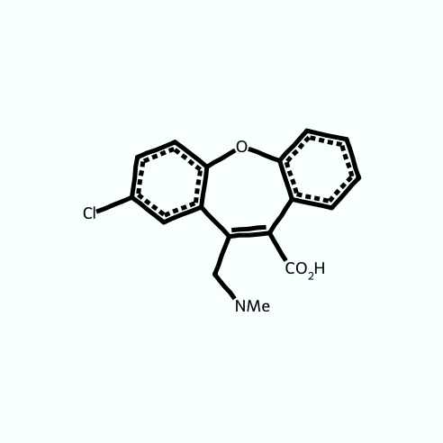 CNCC1=C(C(=O)O)c2ccccc2Oc2ccc(Cl)cc21